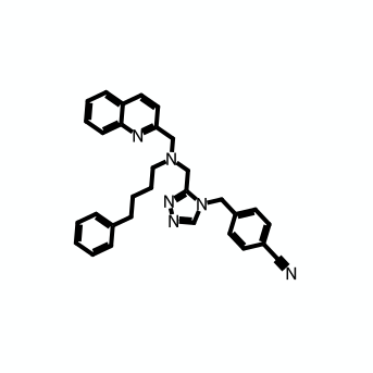 N#Cc1ccc(Cn2cnnc2CN(CCCCc2ccccc2)Cc2ccc3ccccc3n2)cc1